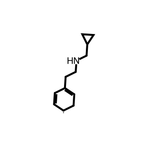 [CH]1C=CC(CCNCC2CC2)=CC1